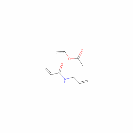 C=CCNC(=O)C=C.C=COC(C)=O